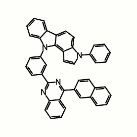 c1ccc(-n2ccc3c2ccc2c4ccccc4n(-c4cccc(-c5nc(-c6ccc7ccccc7c6)c6ccccc6n5)c4)c23)cc1